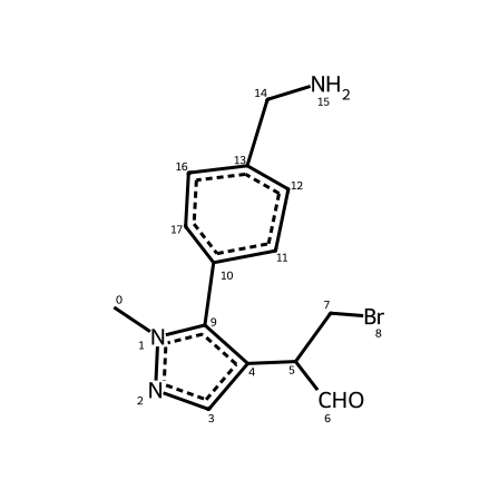 Cn1ncc(C(C=O)CBr)c1-c1ccc(CN)cc1